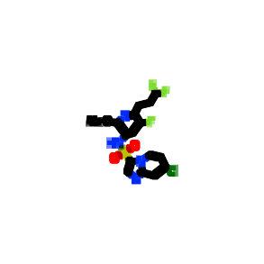 COc1nc(CCC(F)F)c(F)cc1NS(=O)(=O)c1cnc2cc(Cl)ccn12